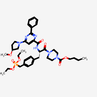 CCCCOC(=O)N1CCN(C(=O)[C@H](Cc2ccc(CP(=O)(OCC)OCC)cc2)NC(=O)c2cc(N3CC[C@H](OC)C3)nc(-c3ccccc3)n2)CC1